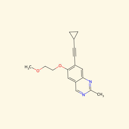 COCCOc1cc2cnc(C)nc2cc1C#CC1CC1